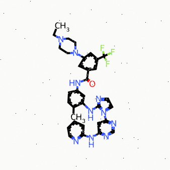 CCN1CCN(c2cc(C(=O)Nc3ccc(C)c(Nc4nccn4-c4cc(Nc5ccccn5)ncn4)c3)cc(C(F)(F)F)c2)CC1